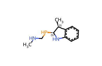 CNCP[C@@H]1Nc2ccccc2[C@@H]1C